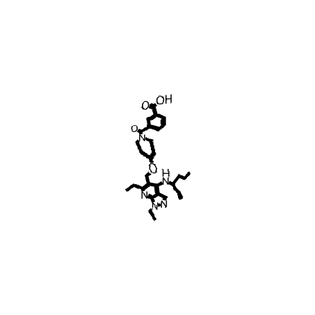 C=CCC(CCC)Nc1c(COC2CCN(C(=O)c3cccc(C(=O)O)c3)CC2)c(CC)nc2c1cnn2CC